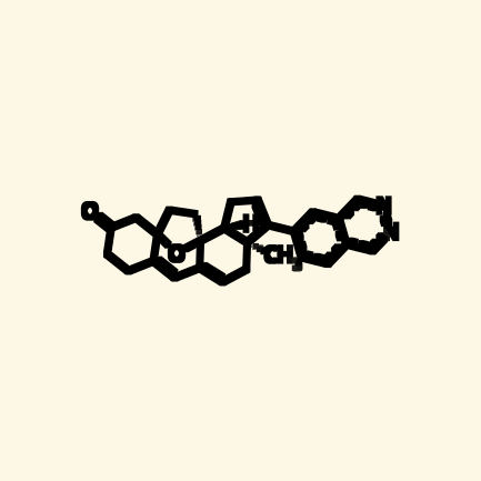 C[C@]12CC=C3C=C4CCC(=O)CC45CC[C@]3(O5)[C@@H]1CC=C2c1ccc2cnncc2c1